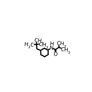 CC(C)C(=O)NC1CCCC(CC(C)(C)C)C1